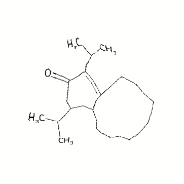 CC(C)C1=C2CCCCCCCC2C(C(C)C)C1=O